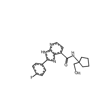 O=C(NC1(CO)CCCC1)c1ccnc2[nH]c(-c3ccc(F)cc3)nc12